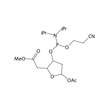 COC(=O)CC1OC(OC(C)=O)CC1OP(OCCC#N)N(C(C)C)C(C)C